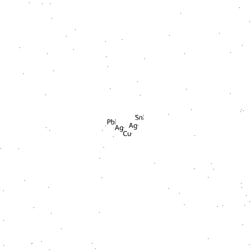 [Ag].[Ag].[Cu].[Pb].[Sn]